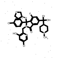 CCC(O)(c1cc(F)c2c(c1)C(=O)N(Cc1ncc(Cl)cc1O)C2(O[C@H]1CCOC1)c1ccc(Cl)cc1)C1CCN(C)CC1